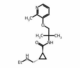 CCNC[C@H]1C[C@@H]1C(=O)NC(C)(C)COc1cccnc1C